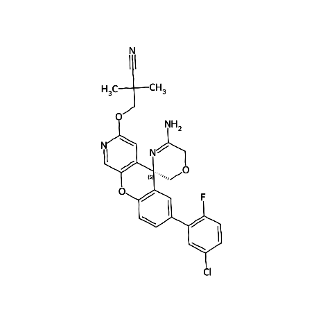 CC(C)(C#N)COc1cc2c(cn1)Oc1ccc(-c3cc(Cl)ccc3F)cc1[C@@]21COCC(N)=N1